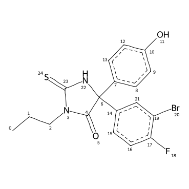 CCCN1C(=O)C(c2ccc(O)cc2)(c2ccc(F)c(Br)c2)NC1=S